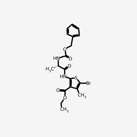 CCOC(=O)c1c(NC(=O)[C@H](C)NC(=O)OCc2ccccc2)sc(Br)c1C